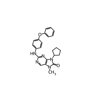 Cn1c(=O)n(C2CCCC2)c2nc(Nc3ccc(Oc4ccccc4)cc3)ncc21